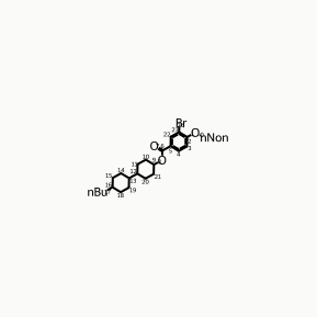 CCCCCCCCCOc1ccc(C(=O)OC2CCC(C3CCC(CCCC)CC3)CC2)cc1Br